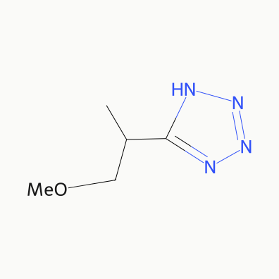 [CH2]OCC(C)c1nnn[nH]1